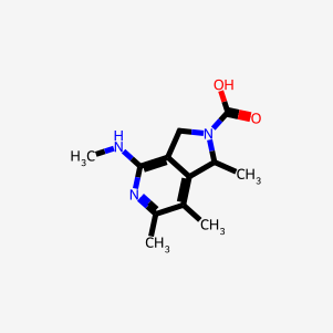 CNc1nc(C)c(C)c2c1CN(C(=O)O)C2C